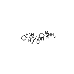 CC(Cc1ccc(S(N)(=O)=O)cc1)(C(=O)O)c1cc(-c2ccccc2)[nH]n1